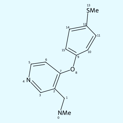 CNCc1cnccc1Oc1ccc(SC)cc1